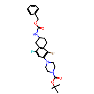 CC(C)(C)OC(=O)N1CCN(c2cc(F)c3c(c2Br)CCC(NC(=O)OCc2ccccc2)C3)CC1